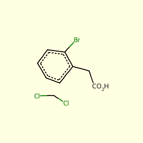 ClCCl.O=C(O)Cc1ccccc1Br